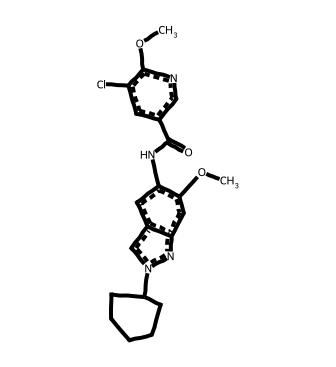 COc1cc2nn(C3CCCCC3)cc2cc1NC(=O)c1cnc(OC)c(Cl)c1